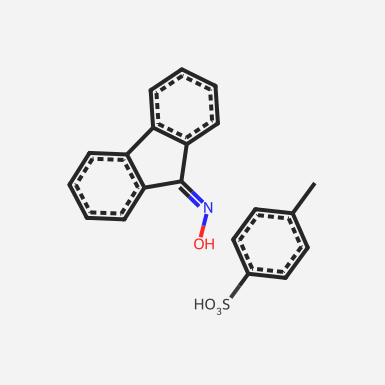 Cc1ccc(S(=O)(=O)O)cc1.ON=C1c2ccccc2-c2ccccc21